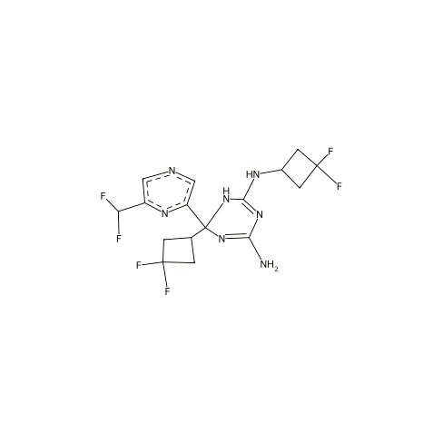 NC1=NC(c2cncc(C(F)F)n2)(C2CC(F)(F)C2)NC(NC2CC(F)(F)C2)=N1